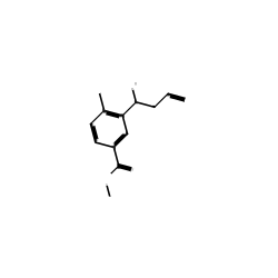 C=CCC(O)c1cc(C(=O)OC)ccc1C